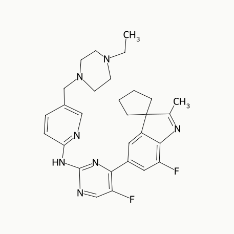 CCN1CCN(Cc2ccc(Nc3ncc(F)c(-c4cc(F)c5c(c4)C4(CCCC4)C(C)=N5)n3)nc2)CC1